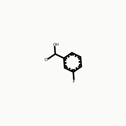 OC(Cl)c1cccc(F)c1